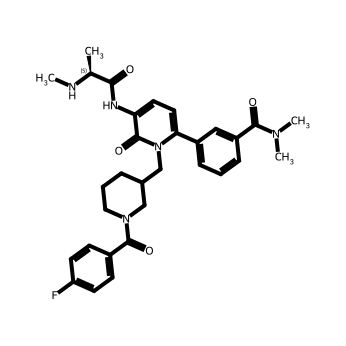 CN[C@@H](C)C(=O)Nc1ccc(-c2cccc(C(=O)N(C)C)c2)n(CC2CCCN(C(=O)c3ccc(F)cc3)C2)c1=O